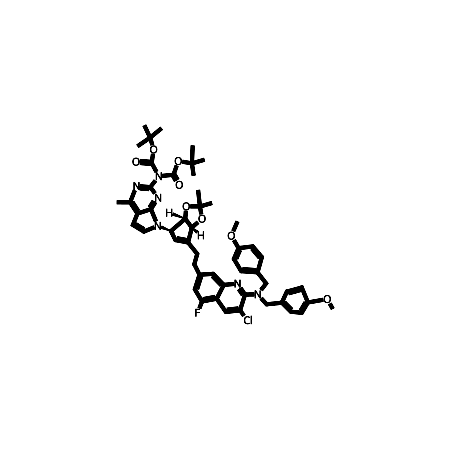 COc1ccc(CN(Cc2ccc(OC)cc2)c2nc3cc(CCC4=C[C@@H](n5ccc6c(C)nc(N(C(=O)OC(C)(C)C)C(=O)OC(C)(C)C)nc65)[C@@H]5OC(C)(C)O[C@H]45)cc(F)c3cc2Cl)cc1